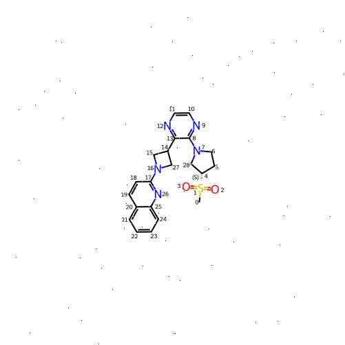 CS(=O)(=O)[C@H]1CCN(c2nccnc2C2CN(c3ccc4ccccc4n3)C2)C1